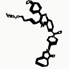 O=C(O)CCCCc1nc2cc(C(=O)N3CCC(N4Cc5ccccc5C4=O)CC3)ccc2nc1-c1ccc(Cl)cc1